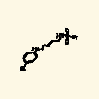 CCc1ccc(NCCCCCNS(=O)(=O)C(C)C)cc1